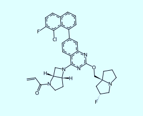 C=CC(=O)N1CC[C@@H]2[C@H]1CN2c1nc(OC[C@@]23CCCN2C[C@H](F)C3)nc2cc(-c3cccc4ccc(F)c(Cl)c34)ccc12